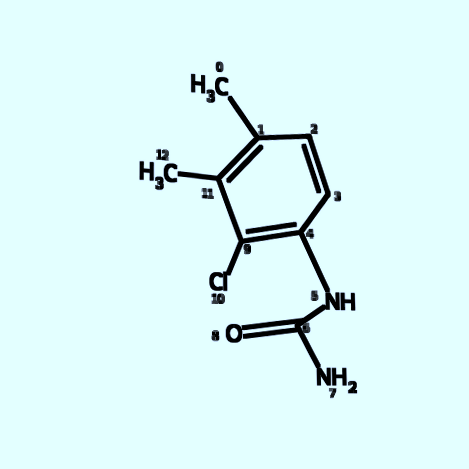 Cc1ccc(NC(N)=O)c(Cl)c1C